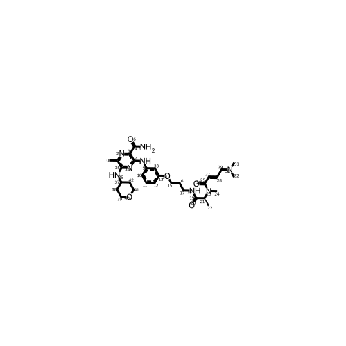 Cc1nc(C(N)=O)c(Nc2cccc(OCCCNC(=O)[C@H](C)N(C)C(=O)/C=C/CN(C)C)c2)nc1NC1CCOCC1